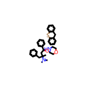 C1COCCN1.CN(C)C(C)(CC(=O)c1ccccc1)Cc1ccccc1.c1ccc2c(c1)Cc1ccccc1S2